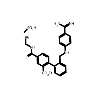 CCOC(=O)c1cc(C(=O)NCC(C)C)ccc1-c1ccccc1CNc1ccc(C(=N)N)cc1.CS(=O)(=O)O